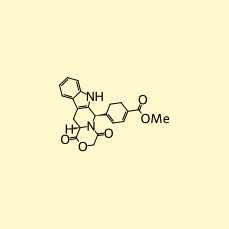 COC(=O)C1=CC=C([C@@H]2c3[nH]c4ccccc4c3C[C@H]3C(=O)OCC(=O)N23)CC1